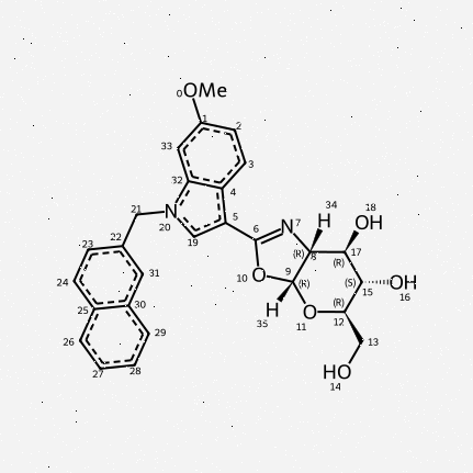 COc1ccc2c(C3=N[C@H]4[C@@H](O3)O[C@H](CO)[C@@H](O)[C@@H]4O)cn(Cc3ccc4ccccc4c3)c2c1